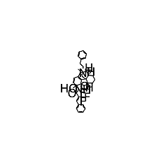 C[N+]1(CCc2ccccc2)CC[C@]23C4=C5C=CC(O)(NC(=O)C(=Cc6ccccc6)C(F)(F)F)C4O[C@H]2CCC[C@H]3[C@H]1C5